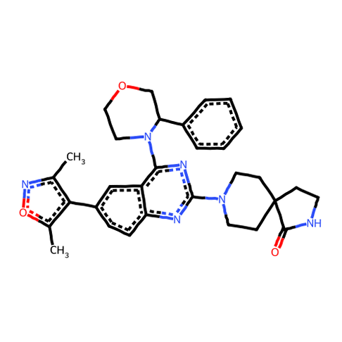 Cc1noc(C)c1-c1ccc2nc(N3CCC4(CCNC4=O)CC3)nc(N3CCOCC3c3ccccc3)c2c1